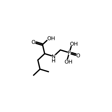 CC(C)CC(NCP(=O)(O)O)C(=O)O